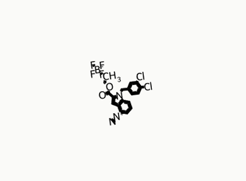 CCOC(=O)c1cc2c([N+]#N)cccc2n1Cc1ccc(Cl)c(Cl)c1.F[B-](F)(F)F